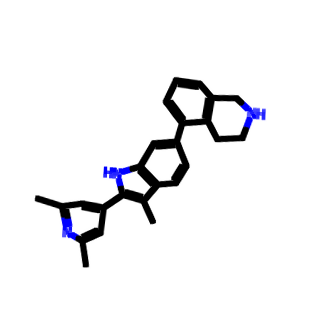 Cc1cc(-c2[nH]c3cc(-c4cccc5c4CCNC5)ccc3c2C)cc(C)n1